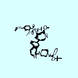 COc1ncc(-c2ccc3ccnc(N4CCN(C(=O)OC(C)(C)C)CC4)c3c2)cc1NS(=O)(=O)c1ccc(F)cc1F